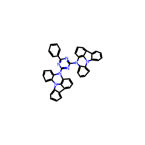 c1ccc(-c2nc(N3c4ccccc4-n4c5ccccc5c5cccc3c54)nc(N3c4ccccc4-n4c5ccccc5c5cccc3c54)n2)cc1